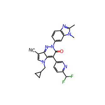 Cc1nc2ccc(-n3nc4c(C#N)cn(CC5CC5)c4c(-c4ccc(C(F)F)nc4)c3=O)cc2n1C